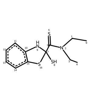 CCN(CC)C(=S)C1(S)Nc2ccccc2S1